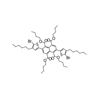 CCCCCCc1cc(-c2cc(C(=O)OCCCC)c3c(C(=O)OCCCC)c(-c4cc(CCCCCC)c(Br)s4)cc(C(=O)OCCCC)c3c2C(=O)OCCCC)sc1Br